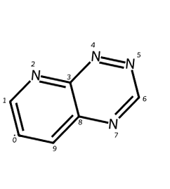 [c]1cnc2nncnc2c1